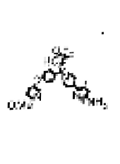 COc1ccc(Oc2ccc(C(=O)N3CCC(c4nnc(N)cc4C)CC3)cc2)cn1.O=C(O)C(F)(F)F